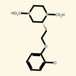 O=C(O)N1CCN(C(=O)O)[C@H](CCOc2ccccc2Cl)C1